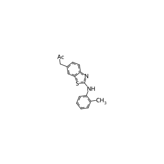 CC(=O)Cc1ccc2nc(Nc3ccccc3C)sc2c1